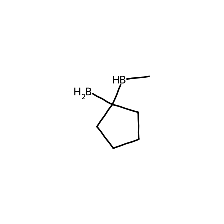 BC1(BC)CCCC1